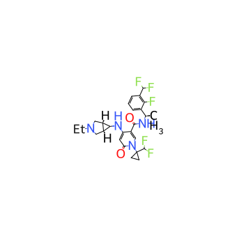 CCN1C[C@@H]2[C@H](C1)[C@H]2Nc1cc(=O)n(C2(C(F)F)CC2)cc1C(=O)N[C@H](C)c1cccc(C(F)F)c1F